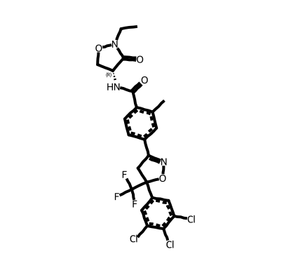 CCN1OC[C@@H](NC(=O)c2ccc(C3=NOC(c4cc(Cl)c(Cl)c(Cl)c4)(C(F)(F)F)C3)cc2C)C1=O